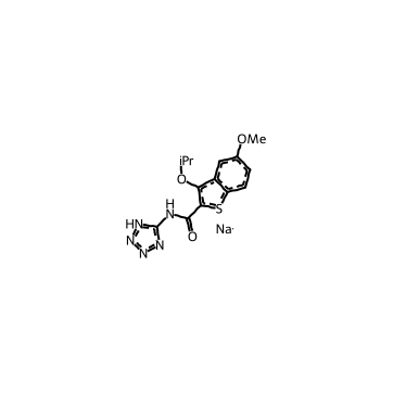 COc1ccc2sc(C(=O)Nc3nnn[nH]3)c(OC(C)C)c2c1.[Na]